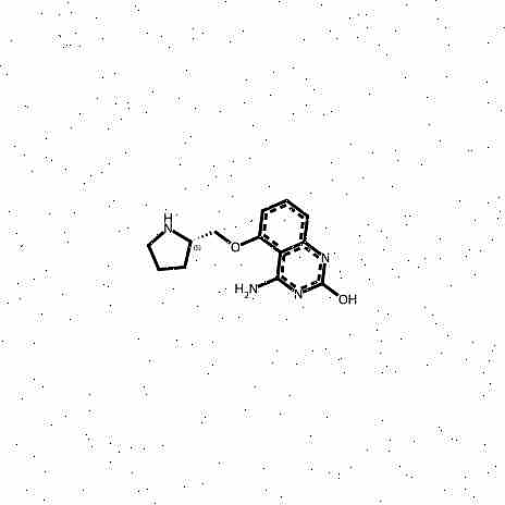 Nc1nc(O)nc2cccc(OC[C@@H]3CCCN3)c12